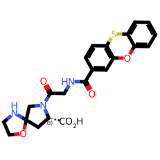 O=C(NCC(=O)N1CC2(C[C@H]1C(=O)O)NCCO2)c1ccc2c(c1)Oc1ccccc1S2